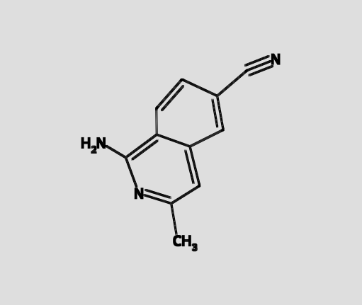 Cc1cc2cc(C#N)ccc2c(N)n1